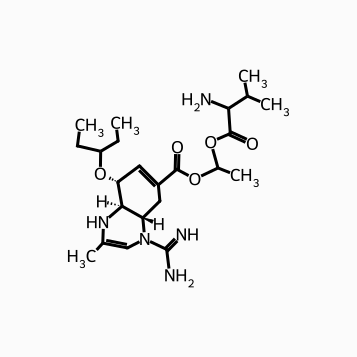 CCC(CC)O[C@@H]1C=C(C(=O)OC(C)OC(=O)C(N)C(C)C)C[C@H]2[C@H]1NC(C)=CN2C(=N)N